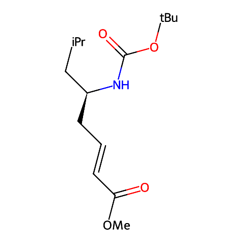 COC(=O)/C=C/C[C@@H](CC(C)C)NC(=O)OC(C)(C)C